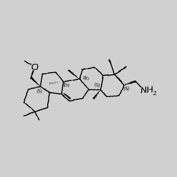 COC[C@]12CCC(C)(C)CC1C1=CCC3[C@@]4(C)CC[C@H](CN)C(C)(C)C4CC[C@@]3(C)[C@]1(C)CC2